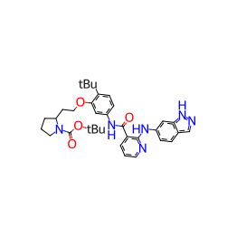 CC(C)(C)OC(=O)N1CCCC1CCOc1cc(NC(=O)c2cccnc2Nc2ccc3cn[nH]c3c2)ccc1C(C)(C)C